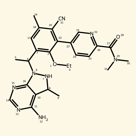 CCOc1c(C(C)N2NC(C)c3c(N)ncnc32)cc(C)c(C#N)c1-c1ccc(C(=O)N(C)C)nc1